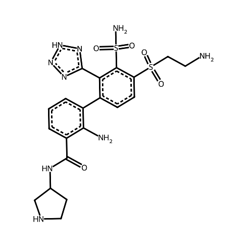 NCCS(=O)(=O)c1ccc(-c2cccc(C(=O)NC3CCNC3)c2N)c(-c2nn[nH]n2)c1S(N)(=O)=O